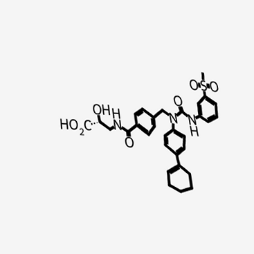 CS(=O)(=O)c1cccc(NC(=O)N(Cc2ccc(C(=O)NC[C@@H](O)C(=O)O)cc2)c2ccc(C3=CCCCC3)cc2)c1